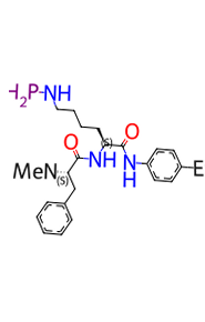 CCc1ccc(NC(=O)[C@H](CCCCNP)NC(=O)[C@H](Cc2ccccc2)NC)cc1